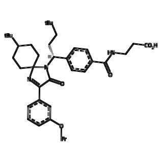 CC(C)Oc1cccc(C2=NC3(CCC(C(C)(C)C)CC3)N([C@H](CCC(C)(C)C)c3ccc(C(=O)NCCC(=O)O)cc3)C2=O)c1